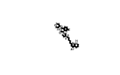 COc1cc(CCCCC(F)(F)[C@@H]2CCN([C@@H](C(=O)O)c3cc(F)ccc3COC3CCOCC3)C2)nc2c1CCCN2